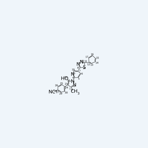 Cc1nn(-c2ccc(-c3nnc(-c4ccccc4)s3)cn2)c(O)c1-c1ccc(C#N)cc1